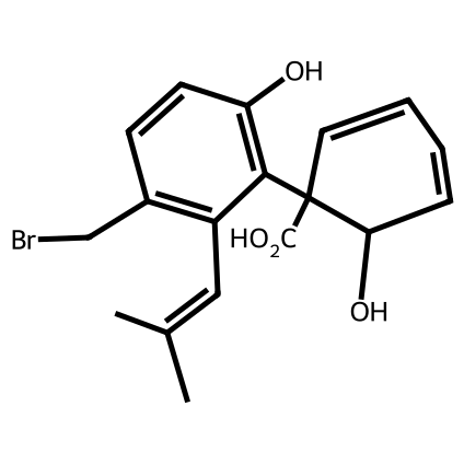 CC(C)=Cc1c(CBr)ccc(O)c1C1(C(=O)O)C=CC=CC1O